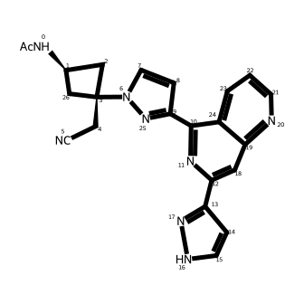 CC(=O)N[C@H]1C[C@](CC#N)(n2ccc(-c3nc(-c4cc[nH]n4)cc4ncccc34)n2)C1